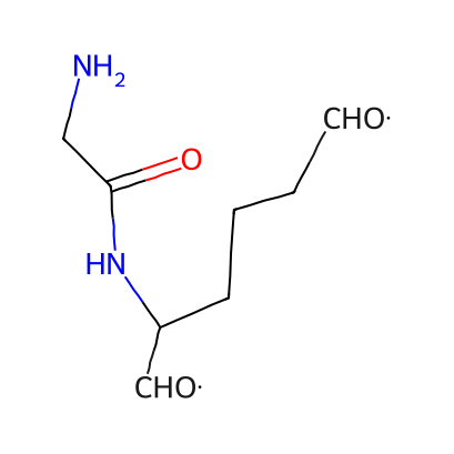 NCC(=O)NC([C]=O)CCC[C]=O